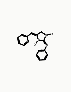 CCN1CC(=Cc2ccccc2)[S+]([O-])C1=Nc1ccccc1